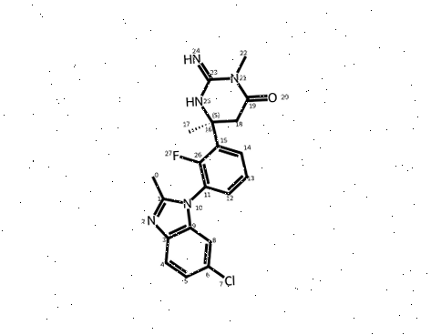 Cc1nc2ccc(Cl)cc2n1-c1cccc([C@]2(C)CC(=O)N(C)C(=N)N2)c1F